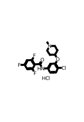 CN1CCC(Oc2cc(NC(=O)c3c(F)cc(F)cc3F)ccc2Cl)CC1.Cl